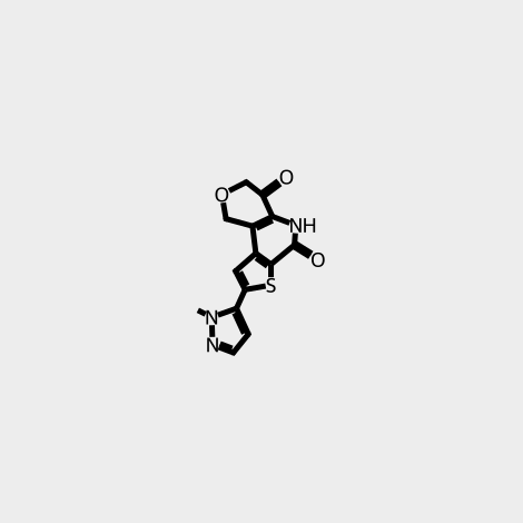 Cn1nccc1-c1cc2c3c([nH]c(=O)c2s1)C(=O)COC3